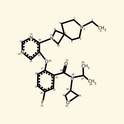 CCN1CCC2(CC1)CN(c1ncncc1Oc1ccc(F)cc1C(=O)N(C(C)C)C1COC1)C2